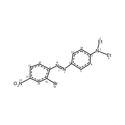 CCN(CC)c1ccc(/N=N/c2ccc([N+](=O)[O-])cc2Br)cc1